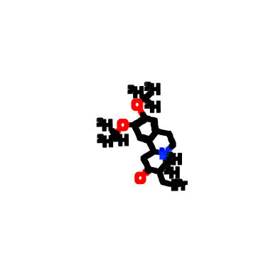 [2H]C([2H])([2H])Oc1cc2c(cc1OC([2H])([2H])[2H])C1CC(=O)C(CC(C)C)C([2H])([2H])N1CC2